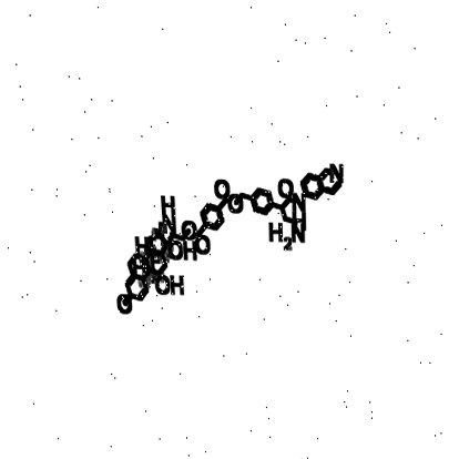 C[C@@H]1C[C@H]2[C@@H]3CCC4=CC(=O)C=C[C@]4(C)[C@@]3(F)[C@@H](O)C[C@]2(C)[C@@]1(O)C(=N)COC(=O)c1ccc(C(=O)OCc2ccc(C(CCN)C(=O)Nc3ccc4cnccc4c3)cc2)cc1